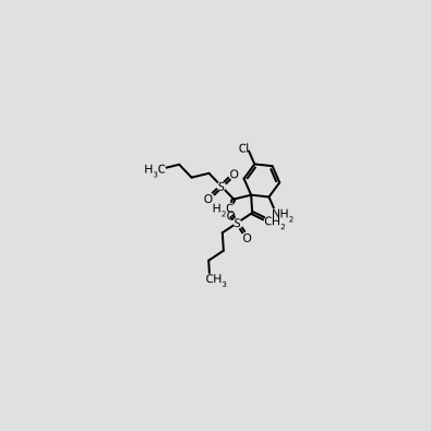 C=C(C1(C(=C)S(=O)(=O)CCCC)C=C(Cl)C=CC1N)S(=O)(=O)CCCC